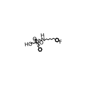 O=C(CN1C(=O)[C@H](CCO)[C@H]1SCc1ccccc1)NCCCCCCc1ccc(F)cc1